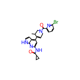 CC1CN(C(=O)c2cccc(Br)n2)CC=C1c1cc(NC(=O)C2CC2)nc2[nH]ccc12